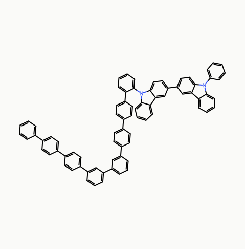 c1ccc(-c2ccc(-c3ccc(-c4cccc(-c5cccc(-c6ccc(-c7ccc(-c8ccccc8-n8c9ccccc9c9cc(-c%10ccc%11c(c%10)c%10ccccc%10n%11-c%10ccccc%10)ccc98)cc7)cc6)c5)c4)cc3)cc2)cc1